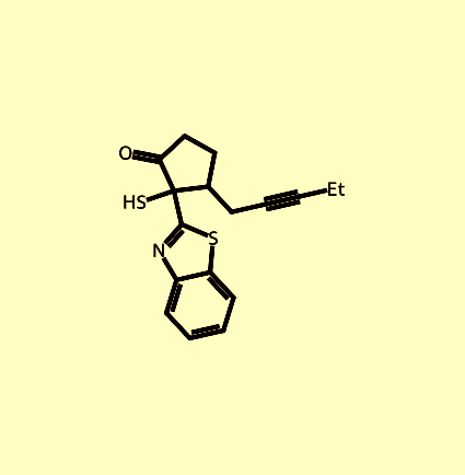 CCC#CCC1CCC(=O)C1(S)c1nc2ccccc2s1